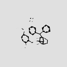 COc1ccc(SC)cc1CN[C@H]1C2CCN(CC2)[C@H]1C(c1ccccc1)c1ccccc1.CS(=O)(=O)O